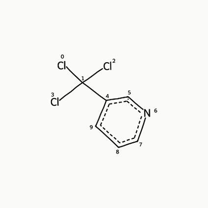 ClC(Cl)(Cl)c1[c]nccc1